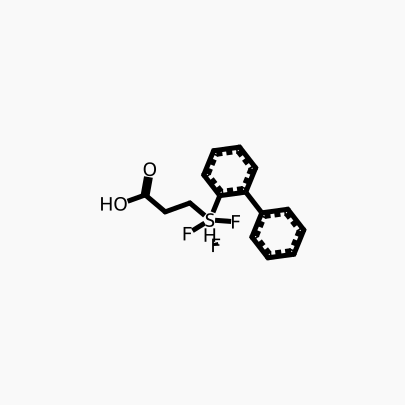 O=C(O)CC[SH](F)(F)(F)c1ccccc1-c1ccccc1